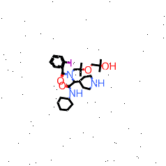 CC(C)(O)COC(C)(C)CN(C(=O)c1ccccc1I)C(C(=O)NC1CCCCC1)C1CCNCC1